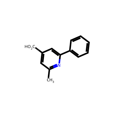 Cc1cc(C(=O)O)cc(-c2ccccc2)n1